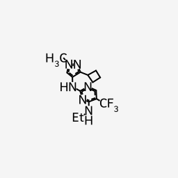 CCNc1nc(Nc2cn(C)nc2C2CCC2)ncc1C(F)(F)F